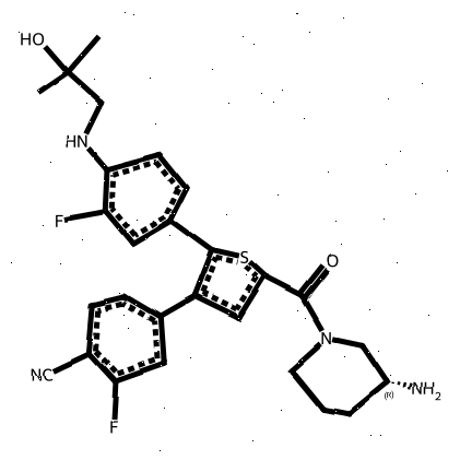 CC(C)(O)CNc1ccc(-c2sc(C(=O)N3CCC[C@@H](N)C3)cc2-c2ccc(C#N)c(F)c2)cc1F